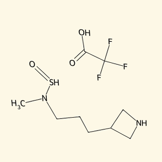 CN(CCCC1CNC1)[SH]=O.O=C(O)C(F)(F)F